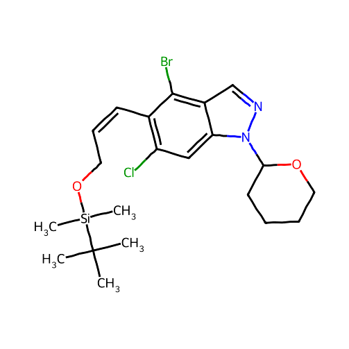 CC(C)(C)[Si](C)(C)OC/C=C\c1c(Cl)cc2c(cnn2C2CCCCO2)c1Br